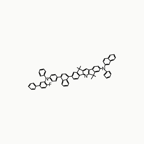 CC1(C)c2cc(-c3ccc(-c4ccc(N(c5ccccc5)c5cc(-c6ccccc6)ccc5F)cc4)c4ccccc34)ccc2-c2nc3c(cc21)-c1ccc(N(c2ccccc2)c2ccc4ccccc4c2)cc1C3(C)C